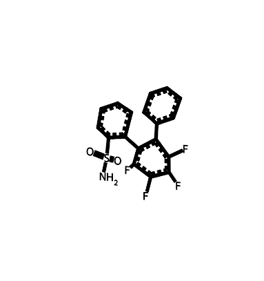 NS(=O)(=O)c1ccccc1-c1c(F)c(F)c(F)c(F)c1-c1ccccc1